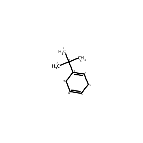 CC(C)(C)C1=CCC=CC1